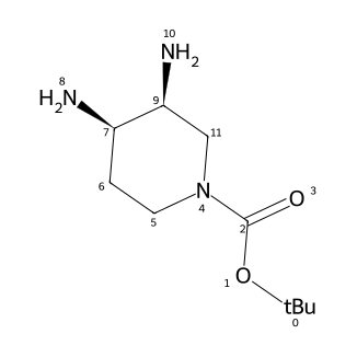 CC(C)(C)OC(=O)N1CC[C@@H](N)[C@@H](N)C1